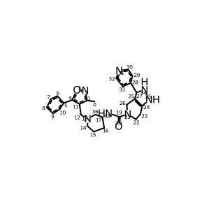 Cc1noc(-c2ccccc2)c1CN1CCC[C@@H](NC(=O)N2CCC3=C(C2)C(c2ccncc2)NN3)C1